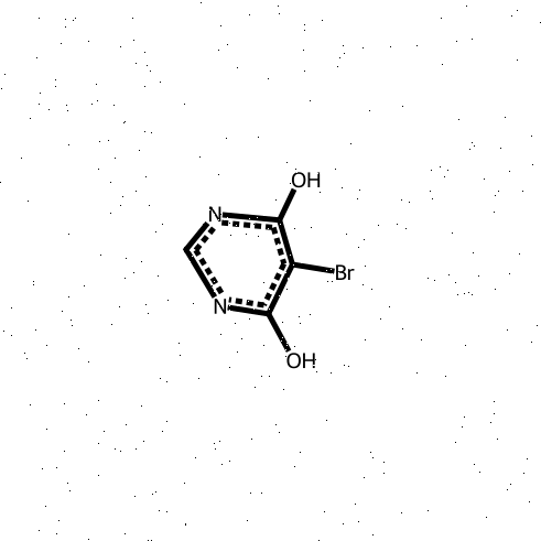 Oc1ncnc(O)c1Br